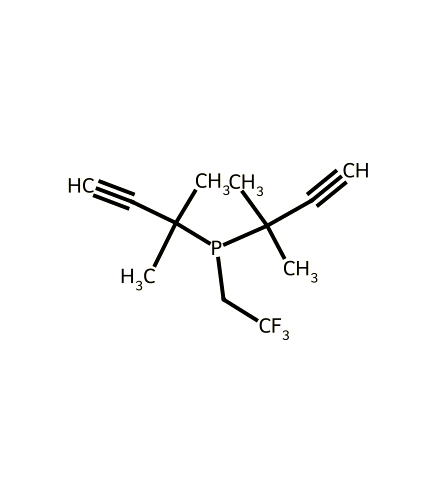 C#CC(C)(C)P(CC(F)(F)F)C(C)(C)C#C